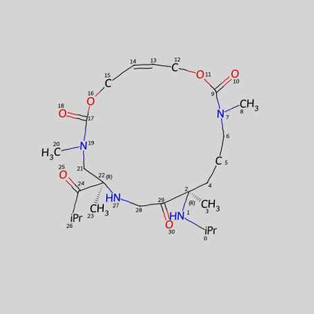 CC(C)N[C@]1(C)CCCN(C)C(=O)OCC=CCOC(=O)N(C)C[C@](C)(C(=O)C(C)C)NCC1=O